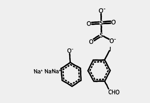 O=Cc1cccc(I)c1.O=S([O-])S(=O)(=O)[O-].[Na+].[Na+].[Na+].[O-]c1ccccc1